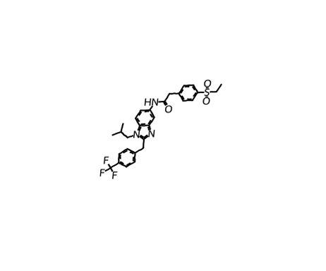 CCS(=O)(=O)c1ccc(CC(=O)Nc2ccc3c(c2)nc(Cc2ccc(C(F)(F)F)cc2)n3CC(C)C)cc1